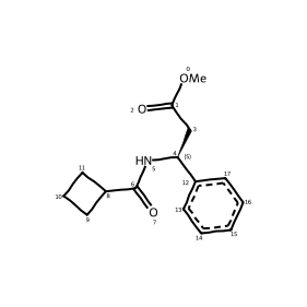 COC(=O)C[C@H](NC(=O)C1CCC1)c1ccccc1